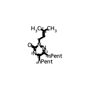 CCCCCc1nc(=O)n(CC=C(C)C)nc1CCCCC